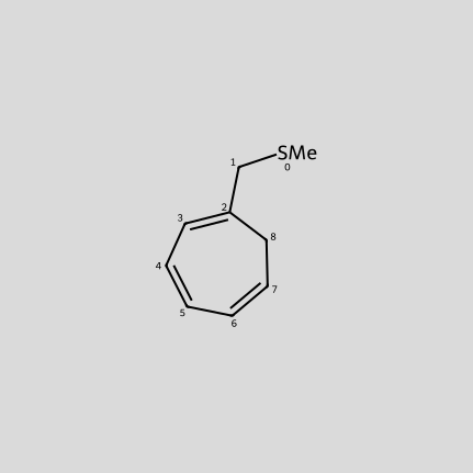 CSCC1=CC=CC=CC1